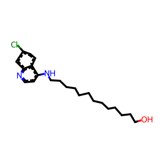 OCCCCCCCCCCCCCNc1ccnc2cc(Cl)ccc12